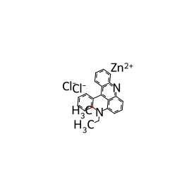 CCN(CC)c1cccc2nc3ccccc3c(-c3ccccc3)c12.[Cl-].[Cl-].[Zn+2]